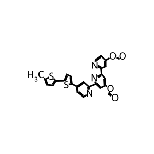 Cc1ccc(-c2ccc(-c3ccnc(-c4cc(OC=O)cc(-c5cc(OC=O)ccn5)n4)c3)s2)s1